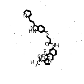 CN(C)c1ccn(Cc2ccc(NC(=O)CCSc3ccc4c(C=Cc5ccccn5)n[nH]c4c3)cc2C(F)(F)F)c1